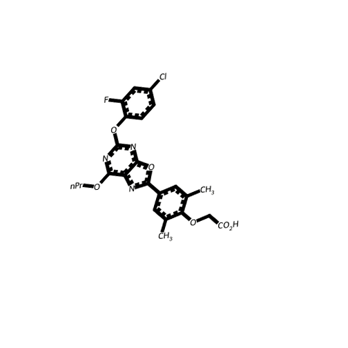 CCCOc1nc(Oc2ccc(Cl)cc2F)nc2oc(-c3cc(C)c(OCC(=O)O)c(C)c3)nc12